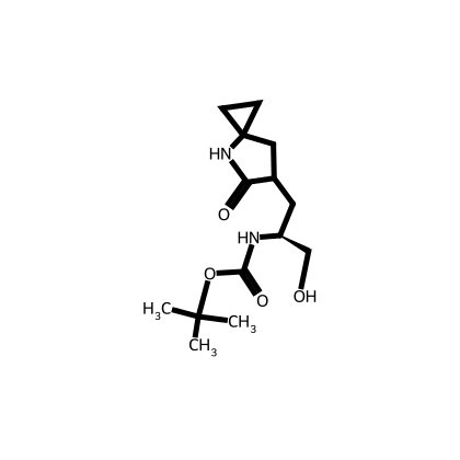 CC(C)(C)OC(=O)N[C@H](CO)CC1CC2(CC2)NC1=O